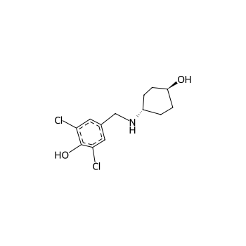 Oc1c(Cl)cc(CN[C@H]2CC[C@H](O)CC2)cc1Cl